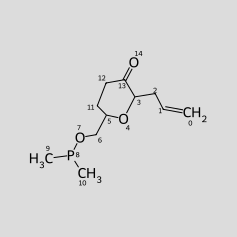 C=CCC1OC(COP(C)C)CCC1=O